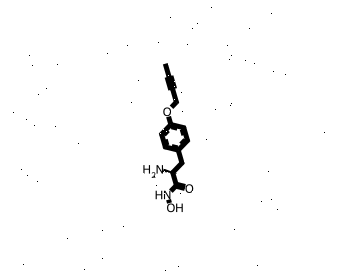 CC#CCOc1ccc(C[C@H](N)C(=O)NO)cc1